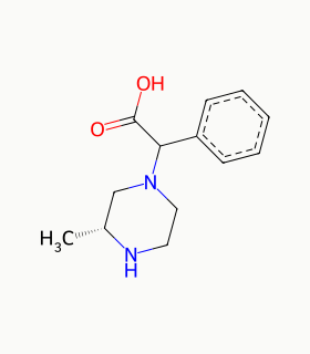 C[C@@H]1CN(C(C(=O)O)c2ccccc2)CCN1